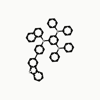 c1ccc(N(c2ccccc2)c2cc(N(c3ccccc3)c3ccccc3)cc(N(c3ccc(-c4ccc5sc6ccccc6c5c4)cc3)c3cccc4ccccc34)c2)cc1